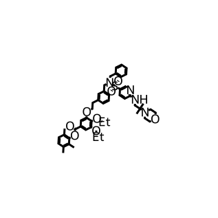 CCOc1cc(C(=O)Oc2c(C)ccc(C)c2C)cc(OCCc2cccc(CN(Cc3ccccc3)S(=O)(=O)c3ccc(NCC(C)(C)N4CCOCC4)nc3)c2)c1OCC